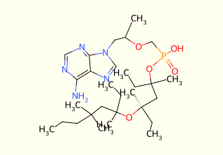 CCCC(C)(C)CC(C)(CC)O[C@](C)(CC)CC(C)(CC)OP(=O)(O)COC(C)Cn1cnc2c(N)ncnc21